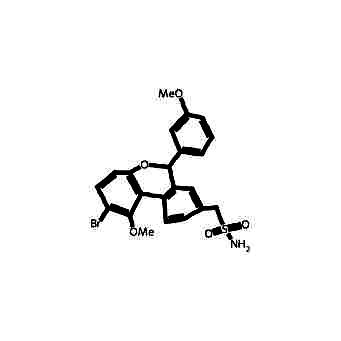 COc1cccc(C2Oc3ccc(Br)c(OC)c3-c3ccc(CS(N)(=O)=O)cc32)c1